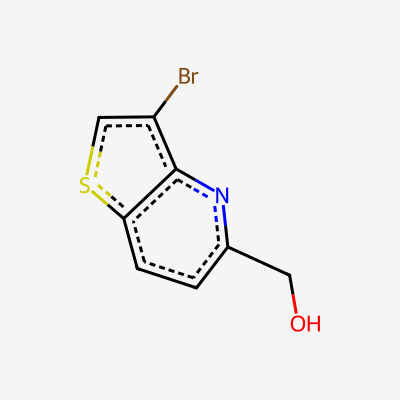 OCc1ccc2scc(Br)c2n1